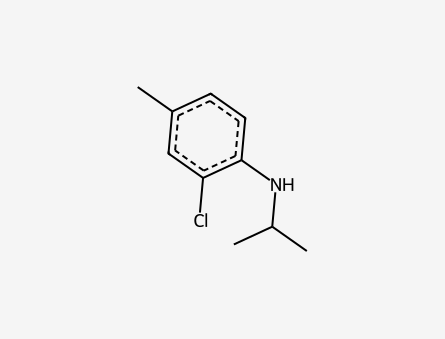 Cc1ccc(NC(C)C)c(Cl)c1